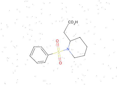 O=C(O)CC1CCCCN1S(=O)(=O)c1ccccc1